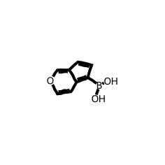 OB(O)c1ccc2coccc1-2